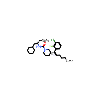 CNC[C@H](CC1CCCCC1)NC(=O)N1CCC[C@@H](/C(=C/CCCOC)c2cccc(Cl)c2F)C1